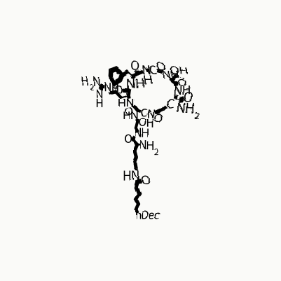 CCCCCCCCCCCCCCCC(=O)NCCCC[C@H](N)C(=O)NCC(=O)N[C@H]1CNC(=O)CC[C@@H](C(N)=O)NC(=O)[C@H]([C@@H](C)O)NC(=O)CNC(=O)[C@H](Cc2ccccc2)NC(=O)[C@H](CCCNC(=N)N)NC1=O